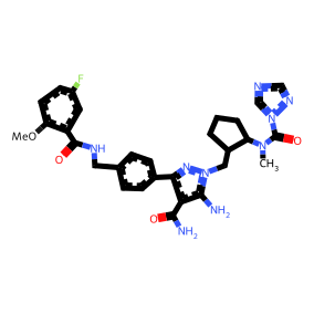 COc1ccc(F)cc1C(=O)NCc1ccc(-c2nn(CC3CCCC3N(C)C(=O)n3cncn3)c(N)c2C(N)=O)cc1